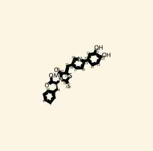 COC(=O)[C@H](Cc1ccccc1)N1C(=O)/C(=C/c2ccc(-c3ccc(O)c(O)c3)nc2)SC1=S